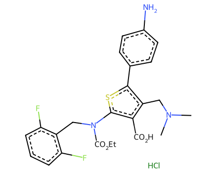 CCOC(=O)N(Cc1c(F)cccc1F)c1sc(-c2ccc(N)cc2)c(CN(C)C)c1C(=O)O.Cl